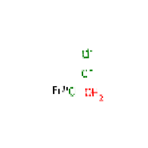 O.[Cl-].[Cl-].[Cl-].[Er+3]